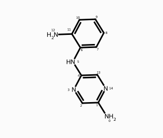 Nc1cnc(Nc2ccccc2N)cn1